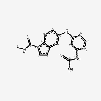 CNC(=O)n1ccc2cc(Oc3cc(NC(=O)O)ncn3)ccc21